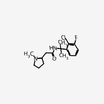 CN1CCCC1CC(=O)NC(C)(C)c1cccc(F)c1Cl